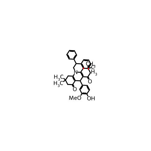 COc1cc(C2C3=C(CC(C)(C)CC3=O)N(CC(c3ccccc3)c3ccccc3)C3=C2C(=O)CC(C)(C)C3)ccc1O